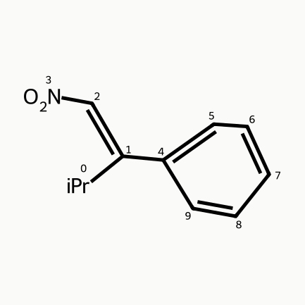 CC(C)/C(=C\[N+](=O)[O-])c1ccccc1